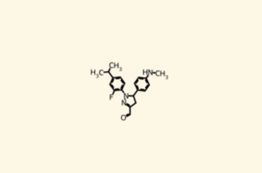 CNc1ccc(C2CC(C=O)=NN2c2ccc(C(C)C)cc2F)cc1